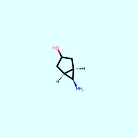 N[C@H]1[C@H]2CC(O)C[C@@H]12